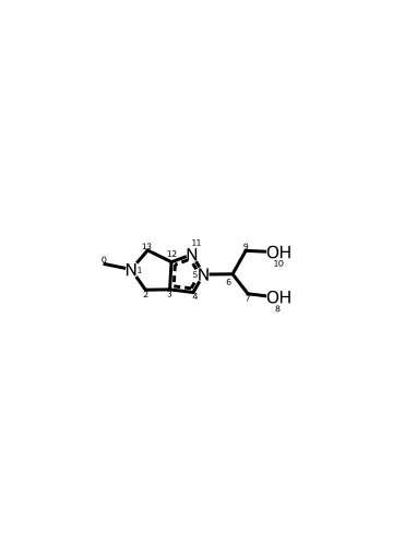 CN1Cc2cn(C(CO)CO)nc2C1